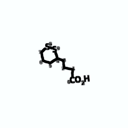 O=C(O)CCCC1CCCSS1